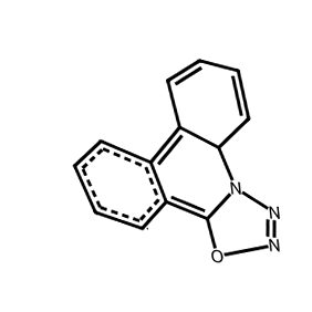 [c]1cccc2c1=C1ON=NN1C1C=CC=CC=21